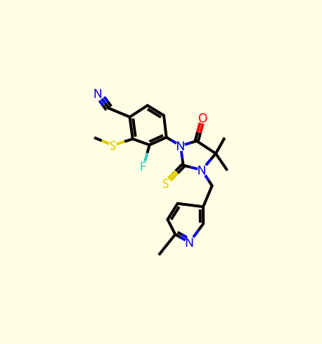 CSc1c(C#N)ccc(N2C(=O)C(C)(C)N(Cc3ccc(C)nc3)C2=S)c1F